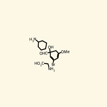 COC1=CC(Br)=CC(O)(C=O)C1.NC1CCCCC1.NCC(=O)O